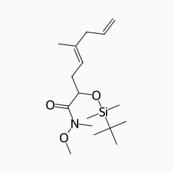 C=CCC(C)=CCC(O[Si](C)(C)C(C)(C)C)C(=O)N(C)OC